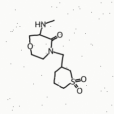 CNC1COCCN(CC2CCCS(=O)(=O)C2)C1=O